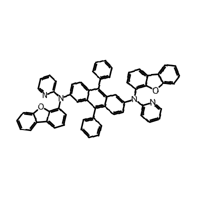 c1ccc(-c2c3ccc(N(c4ccccn4)c4cccc5c4oc4ccccc45)cc3c(-c3ccccc3)c3ccc(N(c4ccccn4)c4cccc5c4oc4ccccc45)cc23)cc1